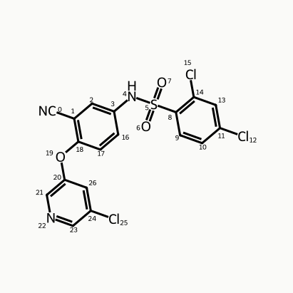 N#Cc1cc(NS(=O)(=O)c2ccc(Cl)cc2Cl)ccc1Oc1cncc(Cl)c1